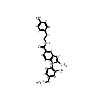 Cc1nc2cc(C(=O)NCCc3ccc(Cl)cc3)ccc2n1-c1ccc(CC(=O)O)cc1C#N